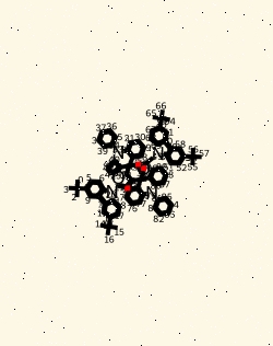 CC(C)(C)c1ccc2c(c1)c1cc(C(C)(C)C)ccc1n2-c1cc2c(o1)C1(c3ccccc3N(c3ccccc3)c3ccccc31)c1cc(-n3c4ccc(C(C)(C)C)cc4c4cc(C(C)(C)C)ccc43)oc1C21c2ccccc2N(c2ccccc2)c2ccccc21